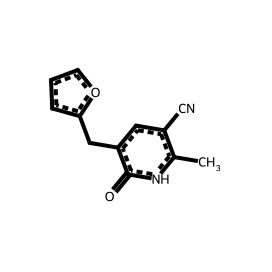 Cc1[nH]c(=O)c(Cc2ccco2)cc1C#N